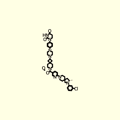 C=O.C[C@H]1CC2(CCN(c3ccc(C(=O)N4CCC5(CC4)CC(N4CCN(c6ccc(N7CCC(=O)NC7=O)cc6)CC4)C5)cn3)CC2)CN1c1cccc(Cl)c1